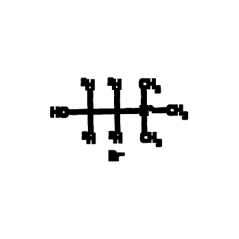 [2H]C([2H])(O)C([2H])([2H])[N+](C)(C)C.[Br-]